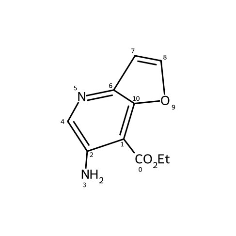 CCOC(=O)c1c(N)cnc2ccoc12